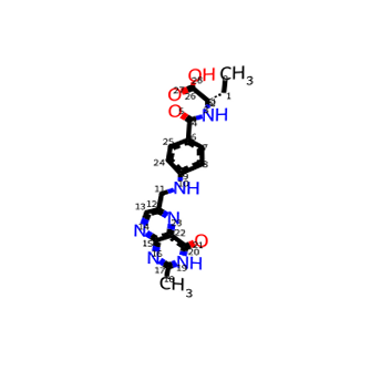 CC[C@H](NC(=O)c1ccc(NCc2cnc3nc(C)[nH]c(=O)c3n2)cc1)C(=O)O